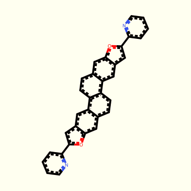 c1ccc(-c2cc3cc4c(ccc5c6cc7cc(-c8ccccn8)oc7cc6ccc45)cc3o2)nc1